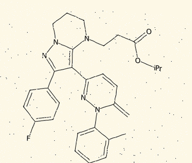 C=C1C=CC(c2c(-c3ccc(F)cc3)nn3c2N(CCC(=O)OC(C)C)CCC3)=NN1c1ccccc1C